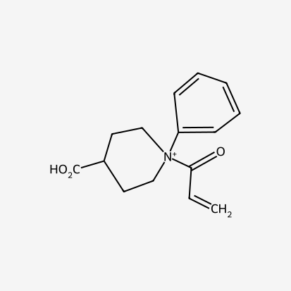 C=CC(=O)[N+]1(c2ccccc2)CCC(C(=O)O)CC1